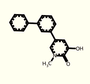 Cn1cc(-c2cccc(-c3ccccc3)c2)cc(O)c1=O